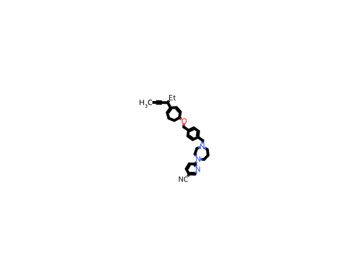 CC#CC(CC)C1=CCCC(OCc2ccc(CN3CCCN(c4ccc(C#N)cn4)CC3)cc2)C=C1